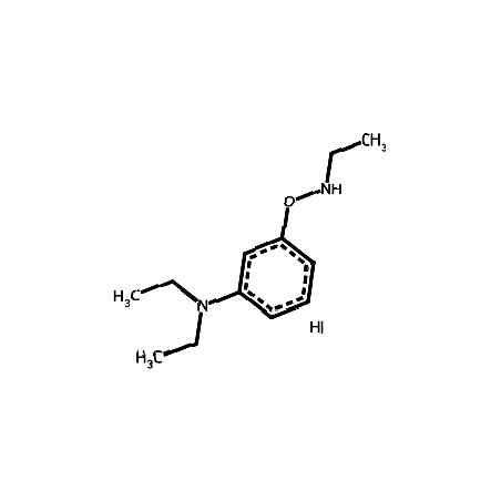 CCNOc1cccc(N(CC)CC)c1.I